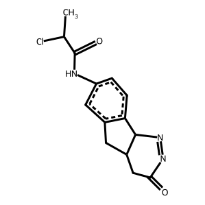 CC(Cl)C(=O)Nc1ccc2c(c1)CC1CC(=O)N=NC21